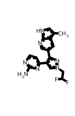 Cc1c[nH]c2ncc(-c3nn(CC(F)F)cc3-c3ccnc(N)n3)cc12